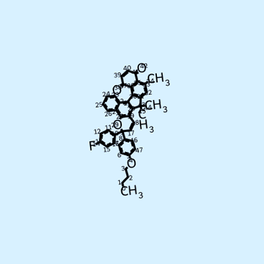 CCCCOc1ccc(C2(c3ccc(F)cc3)C=Cc3c4c(c5ccccc5c3O2)-c2c(cc(C)c3c2C(=O)C=CC3=O)C4(C)C)cc1